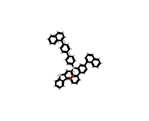 c1ccc(-c2ccc(-c3cccc4ccccc34)cc2N(c2ccc(-c3ccc(-c4cccc5ccccc45)cc3)cc2)c2ccc3c(c2)sc2ccccc23)cc1